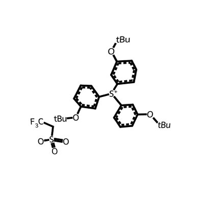 CC(C)(C)Oc1cccc([S+](c2cccc(OC(C)(C)C)c2)c2cccc(OC(C)(C)C)c2)c1.O=S(=O)([O-])CC(F)(F)F